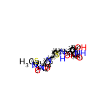 Cc1nc(C(=O)N2CCOC3(CCN(CCc4ccc(CNC[C@H](O)c5ccc(O)c6[nH]c(=O)ccc56)s4)CC3)C2)cs1